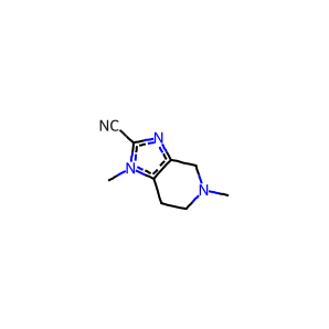 CN1CCc2c(nc(C#N)n2C)C1